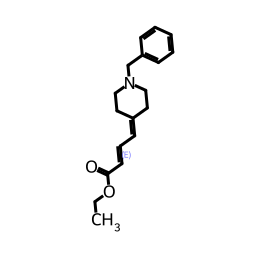 CCOC(=O)/C=C/C=C1CCN(Cc2ccccc2)CC1